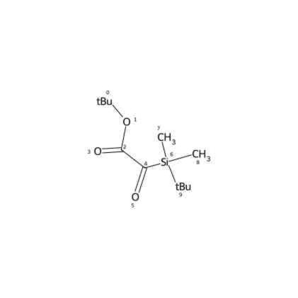 CC(C)(C)OC(=O)C(=O)[Si](C)(C)C(C)(C)C